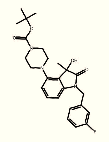 CC(C)(C)OC(=O)N1CCN(c2cccc3c2C(C)(O)C(=O)N3Cc2cccc(F)c2)CC1